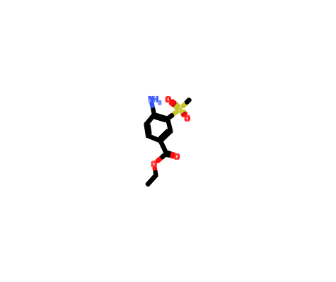 CCOC(=O)c1ccc(N)c(S(C)(=O)=O)c1